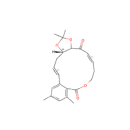 Cc1cc(C)c2c(c1)/C=C/C[C@@H]1OC(C)(C)OC1C(=O)/C=C\CCOC2=O